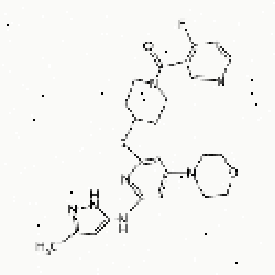 Cc1cc(Nc2cc(N3CCOCC3)cc(SC3CCN(C(=O)c4cnccc4F)CC3)n2)[nH]n1